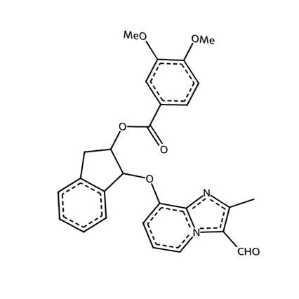 COc1ccc(C(=O)OC2Cc3ccccc3C2Oc2cccn3c(C=O)c(C)nc23)cc1OC